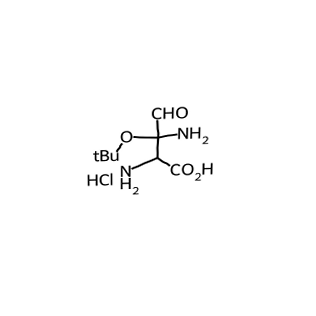 CC(C)(C)OC(N)(C=O)C(N)C(=O)O.Cl